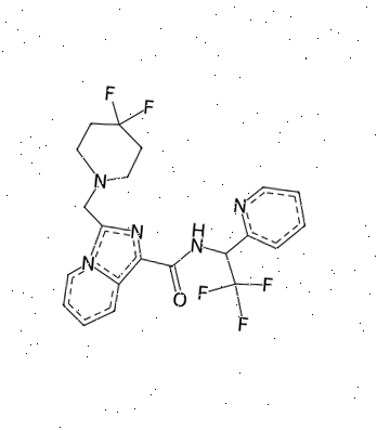 O=C(NC(c1ccccn1)C(F)(F)F)c1nc(CN2CCC(F)(F)CC2)n2ccccc12